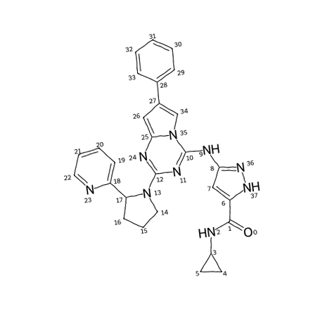 O=C(NC1CC1)c1cc(Nc2nc(N3CCCC3c3ccccn3)nc3cc(-c4ccccc4)cn23)n[nH]1